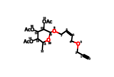 C#CCOC/C=C\COC1OC(C)C(OC(C)=O)C(OC(C)=O)C1OC(C)=O